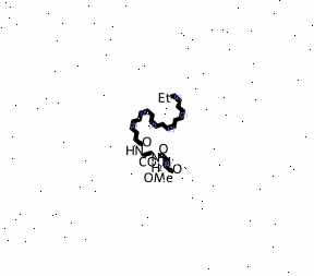 CC/C=C\C/C=C\C/C=C\C/C=C\C/C=C\C/C=C\CCC(=O)NC(CNC(=O)/C=C/C(=O)OC)C(=O)O